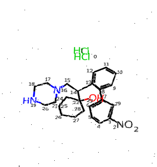 Cl.Cl.O=[N+]([O-])c1cccc(-c2ccccc2C(CN2CCNCC2)C2(O)CCCCC2)c1